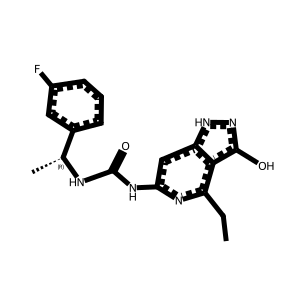 CCc1nc(NC(=O)N[C@H](C)c2cccc(F)c2)cc2[nH]nc(O)c12